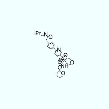 CC(C)CN(C)C(=O)Cc1ccc(-c2ccc(S(=O)(=O)C3(C(=O)NOC4CCCCO4)CCOCC3)cn2)cc1